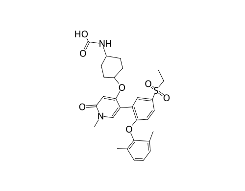 CCS(=O)(=O)c1ccc(Oc2c(C)cccc2C)c(-c2cn(C)c(=O)cc2OC2CCC(NC(=O)O)CC2)c1